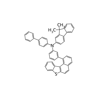 CC1(C)c2ccccc2-c2ccc(N(c3ccc(-c4ccccc4)cc3)c3cccc(-c4cccc5ccc6sc7ccccc7c6c45)c3)cc21